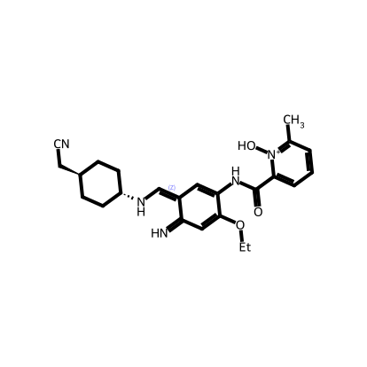 CCOC1=CC(=N)/C(=C\N[C@H]2CC[C@H](CC#N)CC2)C=C1NC(=O)c1cccc(C)[n+]1O